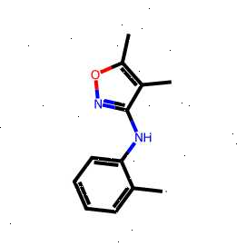 [CH2]c1ccccc1Nc1noc(C)c1C